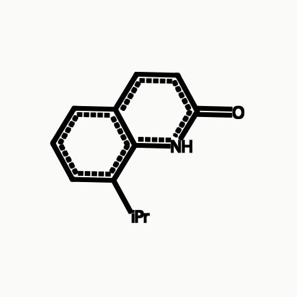 CC(C)c1cccc2ccc(=O)[nH]c12